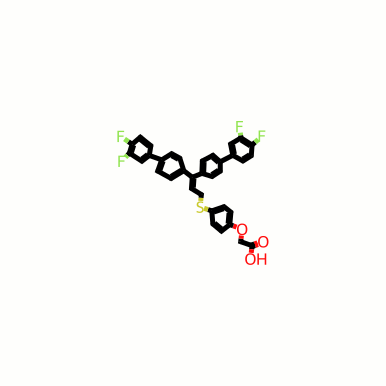 O=C(O)COc1ccc(SCC=C(c2ccc(-c3ccc(F)c(F)c3)cc2)c2ccc(-c3ccc(F)c(F)c3)cc2)cc1